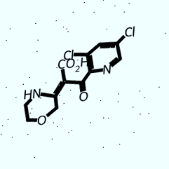 O=C(O)C(C(=O)c1ncc(Cl)cc1Cl)=C1COCCN1